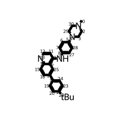 CN1CCN(c2ccc(Nc3ccnc4ccc(-c5ccc(C(C)(C)C)cc5)cc34)cc2)CC1